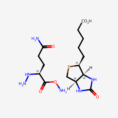 NN[C@@H](CCC(N)=O)C(=O)ON.O=C(O)CCCC[C@@H]1SC[C@@H]2NC(=O)N[C@@H]21